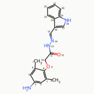 Cc1cc(N)cc(C)c1OCC(=O)N/N=C/c1c[nH]c2ccccc12